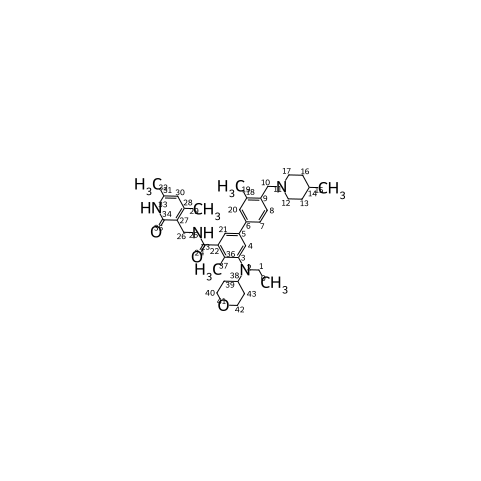 CCN(c1cc(-c2ccc(CN3CCC(C)CC3)c(C)c2)cc(C(=O)NCc2c(C)cc(C)[nH]c2=O)c1C)C1CCOCC1